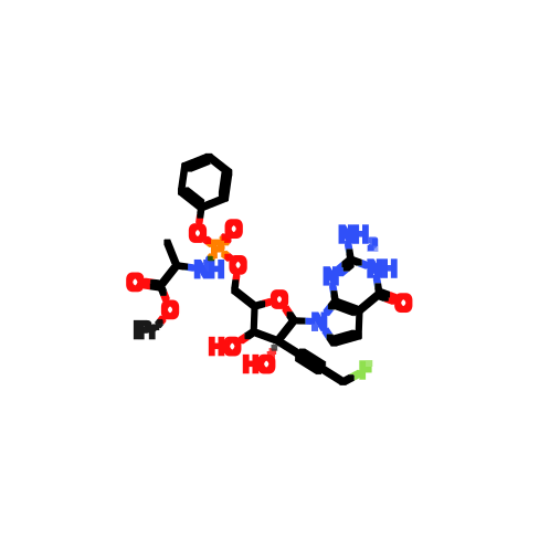 CC(C)OC(=O)C(C)NP(=O)(OCC1OC(n2ccc3c(=O)[nH]c(N)nc32)[C@@](O)(C#CCF)C1O)Oc1ccccc1